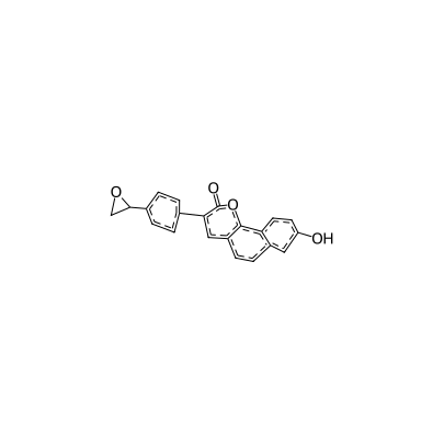 O=c1oc2c(ccc3cc(O)ccc32)cc1-c1ccc(C2CO2)cc1